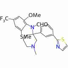 COc1cc(C(F)(F)F)cc(SC)c1N(C=O)C1(c2cccc(-c3nccs3)c2)CCCN(C)C1